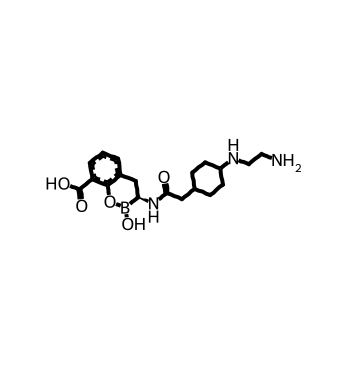 NCCNC1CCC(CC(=O)N[C@@H]2Cc3cccc(C(=O)O)c3OB2O)CC1